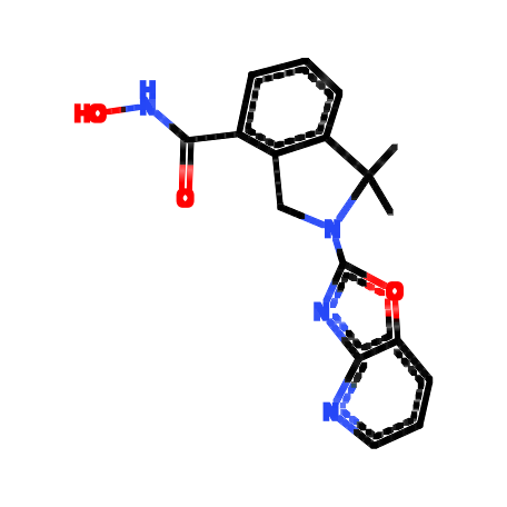 CC1(C)c2cccc(C(=O)NO)c2CN1c1nc2ncccc2o1